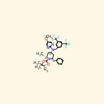 CC[C@@H]1C[C@H](N(Cc2cc(C(F)(F)F)cc(C(F)(F)F)c2)c2ncc(OC)cn2)C[C@H](Cc2ccccc2)N1C(=O)OC(C)(C)C